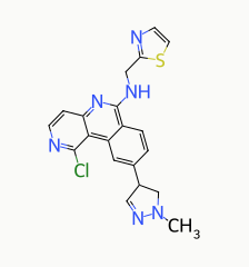 CN1CC(c2ccc3c(NCc4nccs4)nc4ccnc(Cl)c4c3c2)C=N1